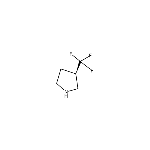 FC(F)(F)[C@@H]1CCNC1